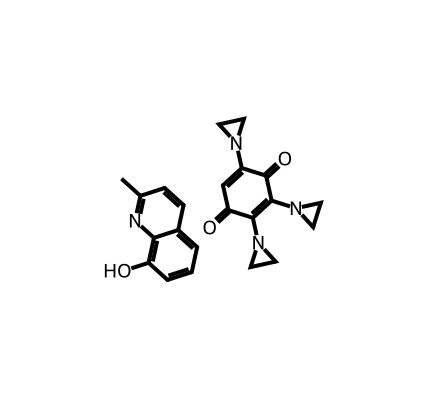 Cc1ccc2cccc(O)c2n1.O=C1C=C(N2CC2)C(=O)C(N2CC2)=C1N1CC1